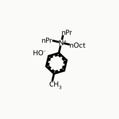 CCCCCCCC[N+](CCC)(CCC)c1ccc(C)cc1.[OH-]